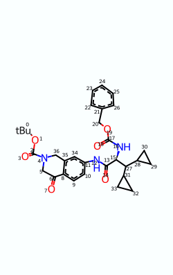 CC(C)(C)OC(=O)N1CC(=O)c2ccc(NC(=O)[C@@H](NC(=O)OCc3ccccc3)C(C3CC3)C3CC3)cc2C1